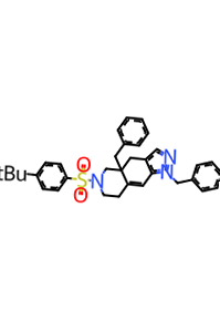 CC(C)(C)c1ccc(S(=O)(=O)N2CCC3=Cc4c(cnn4Cc4ccccc4)CC3(Cc3ccccc3)C2)cc1